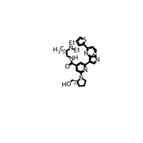 CCN(CC)[C@@H](C)CNC(=O)c1cc(-c2cnn3ccc(-c4cccs4)nc23)nc(N2CCC[C@H]2CO)c1